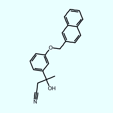 CC(O)(CC#N)c1cccc(OCc2ccc3ccccc3c2)c1